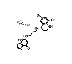 Cl.Cl.Cl.O=c1cc(NCCCNC2CCNc3c(Br)cc(Br)cc32)[nH]c2ccsc12